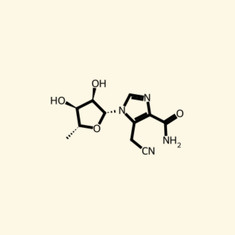 C[C@H]1O[C@@H](n2cnc(C(N)=O)c2CC#N)[C@H](O)[C@@H]1O